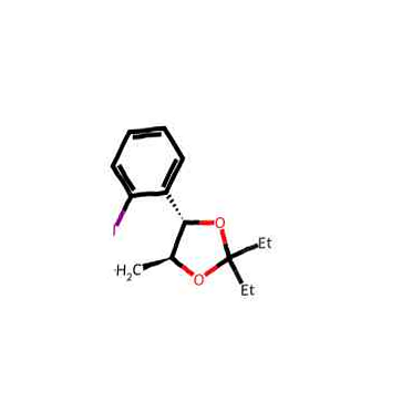 [CH2][C@@H]1OC(CC)(CC)O[C@H]1c1ccccc1I